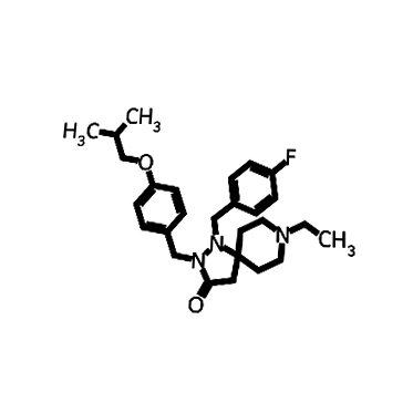 CCN1CCC2(CC1)CC(=O)N(Cc1ccc(OCC(C)C)cc1)N2Cc1ccc(F)cc1